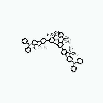 CC1(C)c2cc(-c3cc4c5c(c3)c3cc(-c6ccc7c(c6)C(C)(C)c6cc(N(c8ccccc8)c8ccccc8)ccc6-7)cc6c3n5-c3c(cccc3C6(C)C)C4(C)C)ccc2-c2ccc(N(C3=CCCC=C3)c3ccccc3)cc21